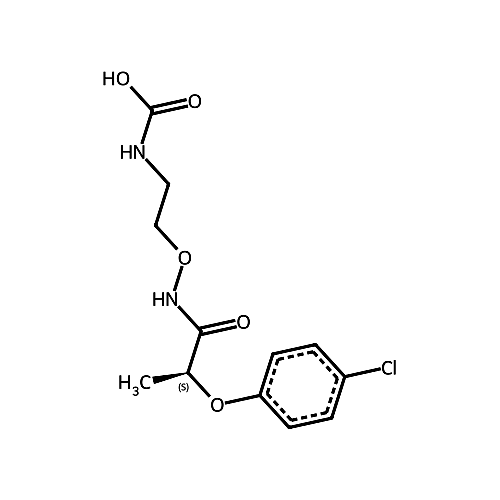 C[C@H](Oc1ccc(Cl)cc1)C(=O)NOCCNC(=O)O